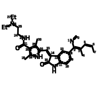 C=N/C(=C(C)\C=C/C)c1ccc2c(c1)/C(=C/c1[nH]c(C)c(C(=O)NCCN(CC)CC)c1C)C(=O)N2